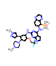 CN1CCN(c2cc(OCC(F)(F)F)c(Nc3nc(Nc4ccc5nccnc5c4P(C)(C)=O)c4cc[nH]c4n3)cc2-c2cnn(C)c2)CC1